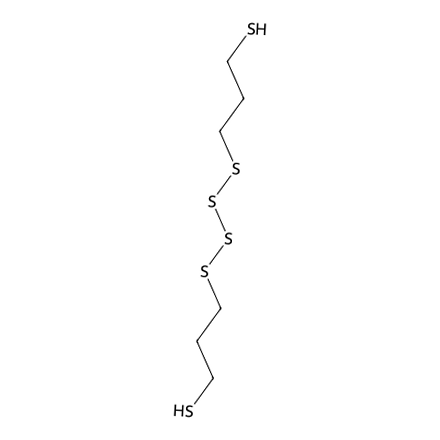 SCCCSSSSCCCS